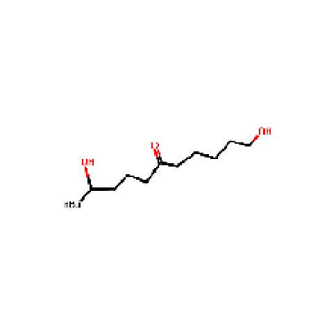 CCCCC(O)CCCC(=O)CCCCCO